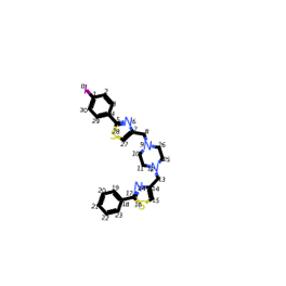 Ic1ccc(-c2nc(CN3CCN(Cc4csc(-c5ccccc5)n4)CC3)cs2)cc1